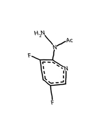 CC(=O)N(N)c1ncc(F)cc1F